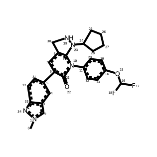 Cn1cc2cc(-c3cc4c(n(-c5ccc(OC(F)F)cc5)c3=O)N(C3CCCC3)NC4)ccc2n1